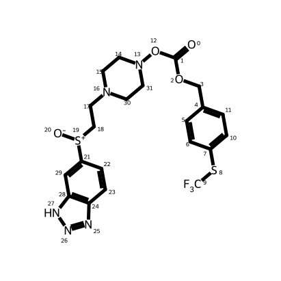 O=C(OCc1ccc(SC(F)(F)F)cc1)ON1CCN(CC[S+]([O-])c2ccc3nn[nH]c3c2)CC1